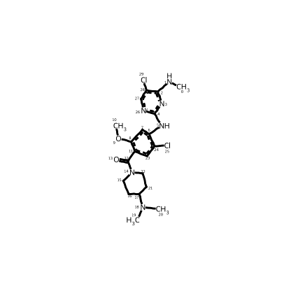 CNc1nc(Nc2cc(OC)c(C(=O)N3CCC(N(C)C)CC3)cc2Cl)ncc1Cl